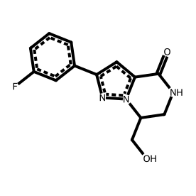 O=C1NCC(CO)n2nc(-c3cccc(F)c3)cc21